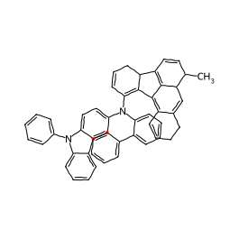 CC1C=CC2=C3C(=C4C=CCCC4=CC31)C1=C(N(c3ccc4c(c3)c3ccccc3n4-c3ccccc3)c3ccccc3-c3ccccc3)C=CCC21